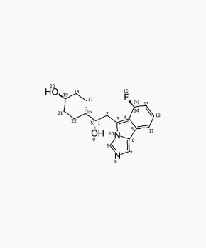 O[C@@H](Cc1c2c(c3cncn13)=CC=C[C@@H]2F)[C@H]1CC[C@H](O)CC1